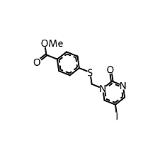 COC(=O)c1ccc(SCn2cc(I)cnc2=O)cc1